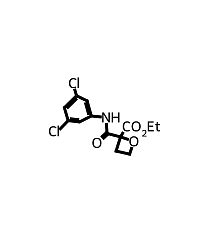 CCOC(=O)C1(C(=O)Nc2cc(Cl)cc(Cl)c2)CCO1